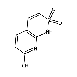 Cc1ccc2c(n1)NS(=O)(=O)C=C2